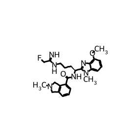 COc1cccc2c1nc([C@H](CCCNC(=N)CF)NC(=O)c1cccc3c1CN(C)C3)n2C